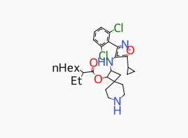 CCCCCCC(CC)C(=O)OC1C(Nc2c(-c3c(Cl)cccc3Cl)noc2C2CC2)CC12CCNCC2